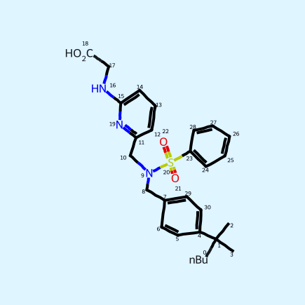 CCCCC(C)(C)c1ccc(CN(Cc2cccc(NCC(=O)O)n2)S(=O)(=O)c2ccccc2)cc1